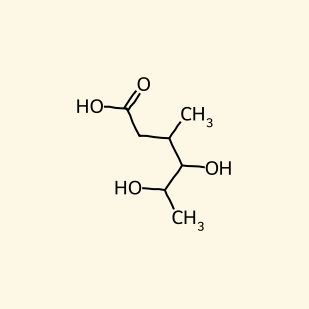 CC(O)C(O)C(C)CC(=O)O